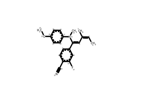 C/C=C(C)\C=C(\c1ccc(C#N)c(F)c1)N(C)c1ccc(OC)cc1